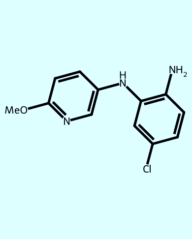 COc1ccc(Nc2cc(Cl)ccc2N)cn1